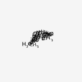 Cn1cc(-c2ccnc(N3CCn4c(cc5c4CC(C)(C)C5)C3=O)c2CO)cc(Nc2cc3n(n2)CCOC3)c1=O